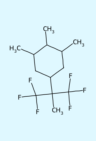 CC1CC(C(C)(C(F)(F)F)C(F)(F)F)CC(C)C1C